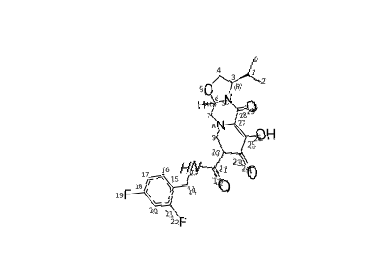 CC(C)[C@@H]1CO[C@H]2CN3CC(C(=O)NCc4ccc(F)cc4F)C(=O)C(O)=C3C(=O)N21